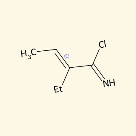 C/C=C(\CC)C(=N)Cl